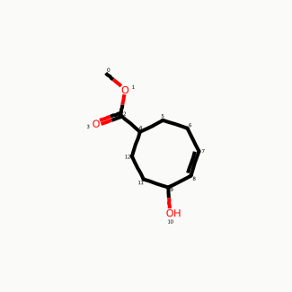 COC(=O)C1CC/C=C\C(O)CC1